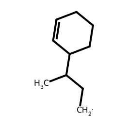 [CH2]CC(C)C1C=CCCC1